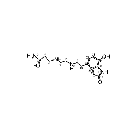 NC(=O)CCNCCNCCc1ccc(O)c2[nH]c(=O)sc12